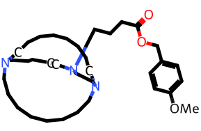 COc1ccc(COC(=O)CCCN2CCCCCN3CCCCCCCCN(CCCCCCCC3)CC2)cc1